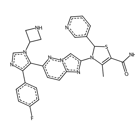 CC1=C(C(N)=O)SC(c2cccnc2)N1c1cn2nc(-c3c(-c4ccc(F)cc4)ncn3C3CNC3)ccc2n1